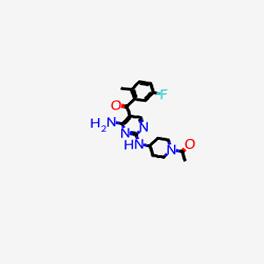 CC(=O)N1CCC(Nc2ncc(C(=O)c3cc(F)ccc3C)c(N)n2)CC1